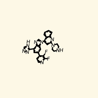 Fc1nccc(-c2cc(-c3nnc[nH]3)c3ncn(-c4cc(N5CCNCC5)nc5ccccc45)c3c2)c1F